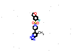 Cc1cc2ncnn2cc1C1=CCN(S(=O)(=O)c2cc3c(cc2F)OCC3)CC1